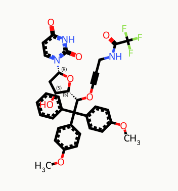 COc1ccc(C(c2ccccc2)(c2ccc(OC)cc2)C(OC#CCNC(=O)C(F)(F)F)[C@H]2O[C@@H](n3ccc(=O)[nH]c3=O)C[C@@H]2O)cc1